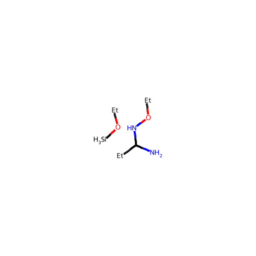 CCONC(N)CC.CCO[SiH3]